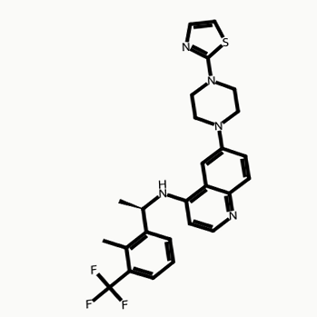 Cc1c([C@@H](C)Nc2ccnc3ccc(N4CCN(c5nccs5)CC4)cc23)cccc1C(F)(F)F